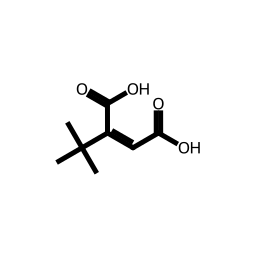 CC(C)(C)C(=CC(=O)O)C(=O)O